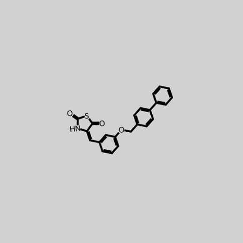 O=C1NC(=Cc2cccc(OCc3ccc(-c4ccccc4)cc3)c2)C(=O)S1